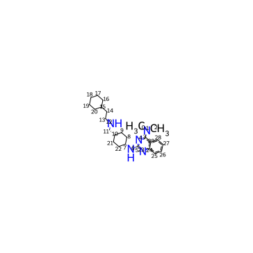 CN(C)c1nc(N[C@H]2CC[C@@H](CNCCC3CCCCC3)CC2)nc2ccccc12